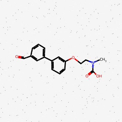 CN(CCOc1cccc(-c2cccc(C=O)c2)c1)C(=O)O